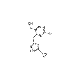 OCc1cnc(Br)nc1Cc1cc(C2CC2)[nH]n1